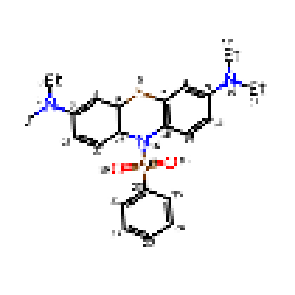 CCN(C)C1=CC2Sc3cc(N(CC)CC)ccc3N(S(=O)(=O)c3ccccc3)C2C=C1